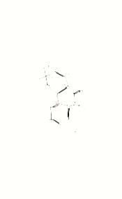 COc1cccc2c3c(c(=O)n(C)c12)C=CC(C)(C)O3